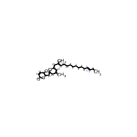 CC/C=C/CCCCCCCCCC(C)CC1CC(C)CC2(CC3OC(=O)C=CC3O2)O1